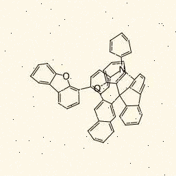 c1ccc(N(c2ccc(-c3cccc4c3oc3ccccc34)cc2)c2cccc3c2C2(c4ccccc4Oc4cc5ccccc5cc42)c2ccccc2-3)cc1